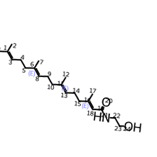 CC(C)=CCC/C(C)=C/CC/C(C)=C/CC/C(C)=C/C(=O)NCCO